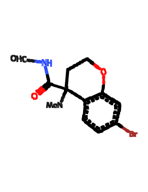 CNC1(C(=O)NC=O)CCOc2cc(Br)ccc21